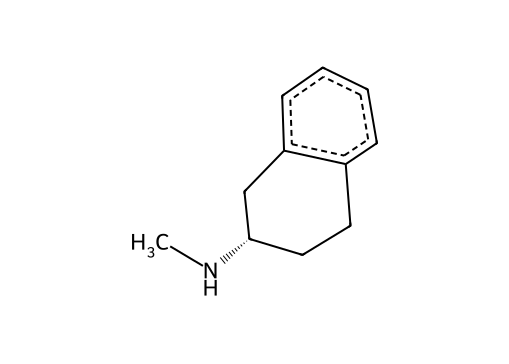 CN[C@H]1CCc2ccccc2C1